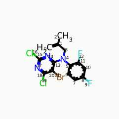 C=C(C)CN(c1ccc(F)cc1F)c1nc(Cl)nc(Cl)c1Br